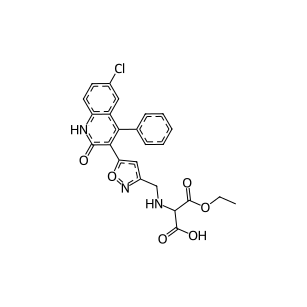 CCOC(=O)C(NCc1cc(-c2c(-c3ccccc3)c3cc(Cl)ccc3[nH]c2=O)on1)C(=O)O